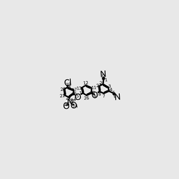 N#Cc1cc(C#N)cc(Oc2cccc(Oc3cc(Cl)ccc3[N+](=O)[O-])c2)c1